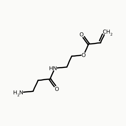 C=CC(=O)OCCNC(=O)CCN